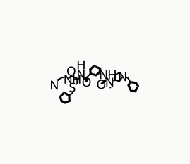 CN(C(=O)Nc1cccc(C(=O)NC(CSCc2ccccc2)C(=O)NCC#N)c1)C1CCN(Cc2ccccc2)C1